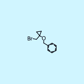 BrCC1(OCc2ccccc2)CC1